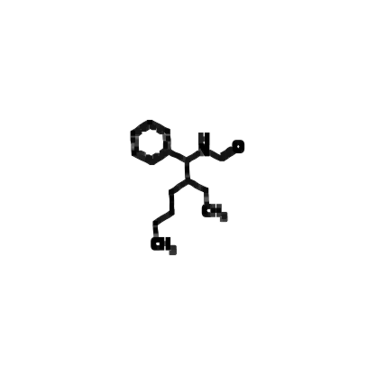 CCCCC(CC)C(NC=O)c1ccccc1